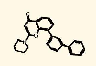 O=c1cc(N2CCCCC2)oc2c(-c3cccc(-c4ccccc4)c3)cccc12